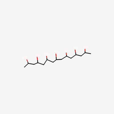 CC(O)CC(O)CC(O)CC(O)CC(O)CC(O)CC(C)O